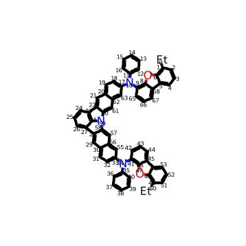 CCc1cccc2c1oc1c(N(c3ccccc3)c3ccc4cc5c6cccc7c8cc9ccc(N(c%10ccccc%10)c%10cccc%11c%10oc%10c(CC)cccc%10%11)cc9cc8n(c5cc4c3)c67)cccc12